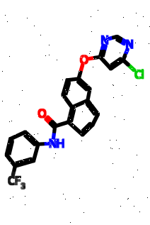 O=C(Nc1cccc(C(F)(F)F)c1)c1cccc2cc(Oc3cc(Cl)ncn3)ccc12